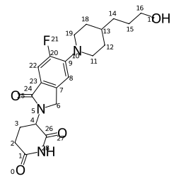 O=C1CCC(N2Cc3cc(N4CCC(CCCO)CC4)c(F)cc3C2=O)C(=O)N1